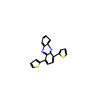 c1csc(-c2ccc(-c3cccs3)c3nc4ccccc4nc23)c1